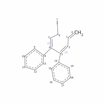 C=C/C=C(\C(=C/CI)c1ccccc1)c1ccccc1